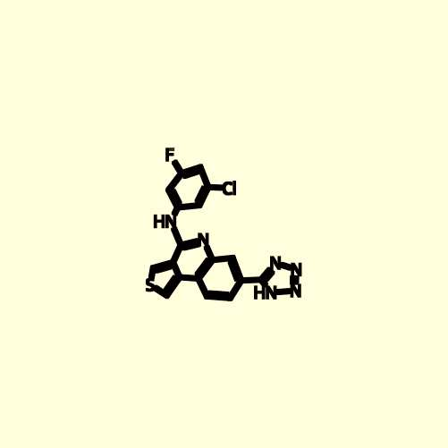 Fc1cc(Cl)cc(Nc2nc3cc(-c4nnn[nH]4)ccc3c3cscc23)c1